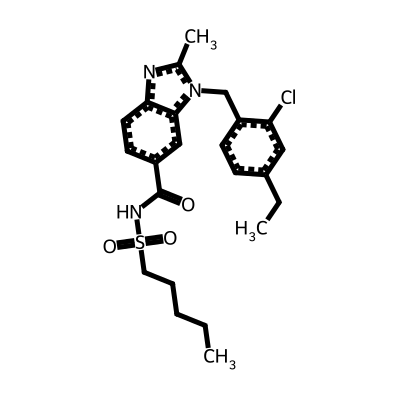 CCCCCS(=O)(=O)NC(=O)c1ccc2nc(C)n(Cc3ccc(CC)cc3Cl)c2c1